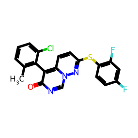 Cc1cccc(Cl)c1-c1c(=O)ncn2nc(Sc3ccc(F)cc3F)ccc12